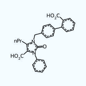 CCCc1c(C(=O)O)n(-c2ccccc2)c(=O)n1Cc1ccc(-c2ccccc2C(=O)O)cc1